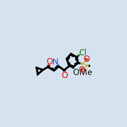 COc1c(C(=O)c2cc(C3CC3)on2)ccc(Cl)c1S(C)(=O)=O